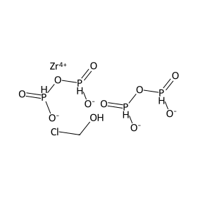 O=[PH]([O-])O[PH](=O)[O-].O=[PH]([O-])O[PH](=O)[O-].OCCl.[Zr+4]